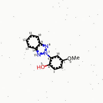 COc1[c]cc(O)c(-n2nc3ccccc3n2)c1